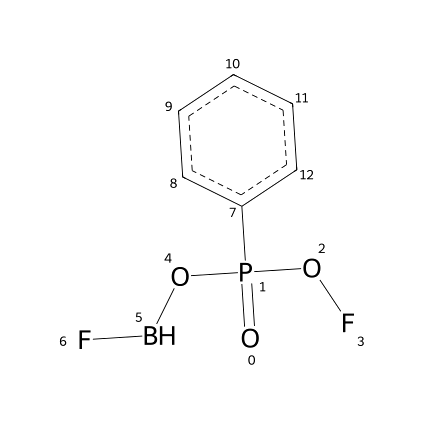 O=P(OF)(OBF)c1ccccc1